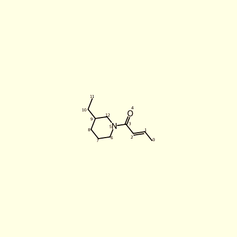 CC=CC(=O)N1CCCC(CC)C1